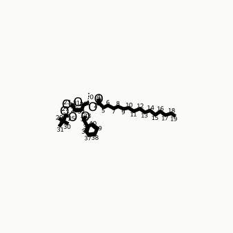 [CH2][C@H](OC(=O)CCCCCCCCCCCCCCC)[C@H]1OC(=O)C(OC(=O)C(C)(C)C)=C1OCc1ccccc1